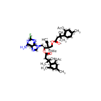 C#C[C@](COC(=O)CC(C)(C)c1ccc(C)cc1OC(C)=O)(OC)[C@H](Cn1cnc2c(N)nc(F)nc21)OC(=O)CC(C)(C)c1c(C)cc(C)cc1OC(C)=O